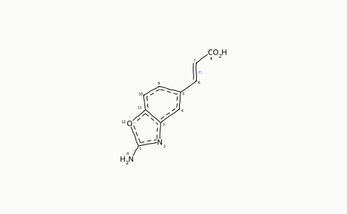 Nc1nc2cc(/C=C/C(=O)O)ccc2o1